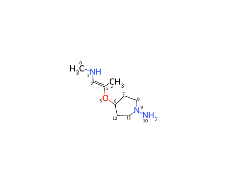 CN/C=C(\C)OC1CCN(N)CC1